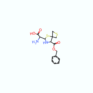 NC(C(=O)O)C1NC(C(=O)OCc2ccccc2)C2(CSC2)S1